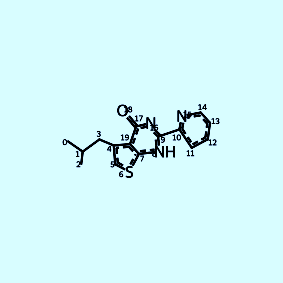 CC(C)Cc1csc2[nH]c(-c3ccccn3)nc(=O)c12